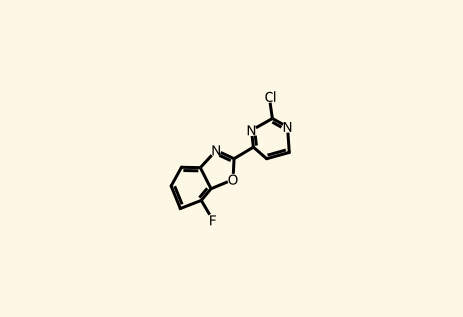 Fc1cccc2nc(-c3ccnc(Cl)n3)oc12